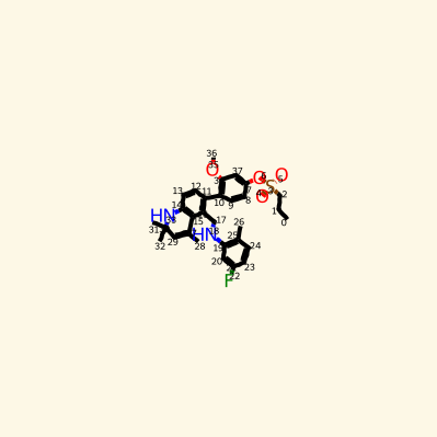 CCCS(=O)(=O)Oc1ccc(-c2ccc3c(c2CNc2cc(F)ccc2C)C(C)=CC(C)(C)N3)c(OC)c1